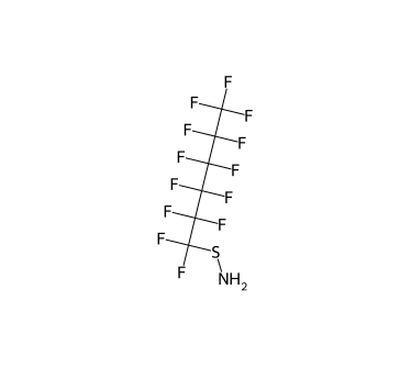 NSC(F)(F)C(F)(F)C(F)(F)C(F)(F)C(F)(F)C(F)(F)F